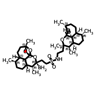 B[C@]1(CCS(=O)(=O)NCC[C@@]2(C)O[C@@H]3O[C@]4(C)CC[C@H]5[C@H](C)CC[C@@H]([C@H]2C)[C@@]35OO4)O[C@@H]2O[C@]3(C)CC[C@H]4[C@H](C)CC[C@@H]([C@H]1C)[C@@]24OO3